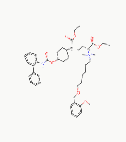 CCOC(=O)[C@@H](CC[C@@H](C(=O)OCC)C1CCC(OC(=O)Nc2ccccc2-c2ccccc2)CC1)[N+](C)(C)CCCCCCOCc1ccccc1OC